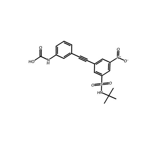 CC(C)(C)NS(=O)(=O)c1cc(C#Cc2cccc(NC(=O)O)c2)cc([N+](=O)[O-])c1